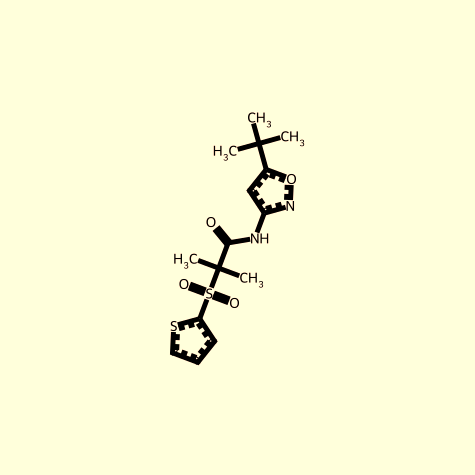 CC(C)(C)c1cc(NC(=O)C(C)(C)S(=O)(=O)c2cccs2)no1